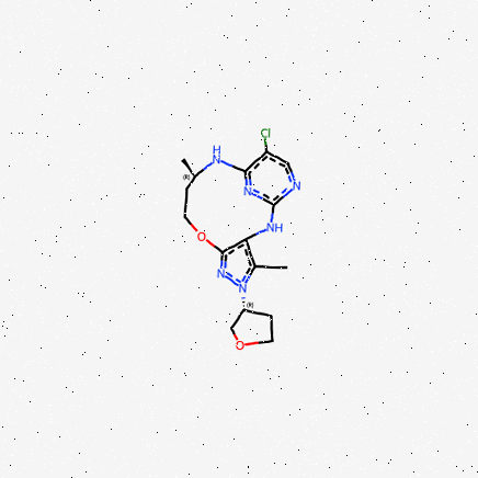 Cc1c2c(nn1[C@@H]1CCOC1)OCC[C@@H](C)Nc1nc(ncc1Cl)N2